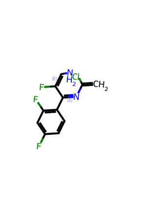 C=C(Cl)/N=C(\C(F)=C/N)c1ccc(F)cc1F